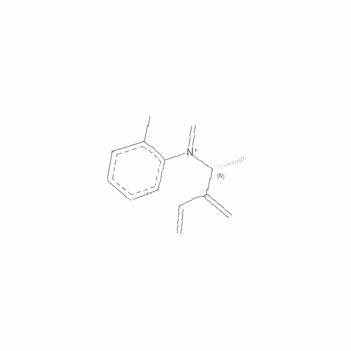 C=CC(=C)[C@@H](C)[N+](=C)c1ccccc1C